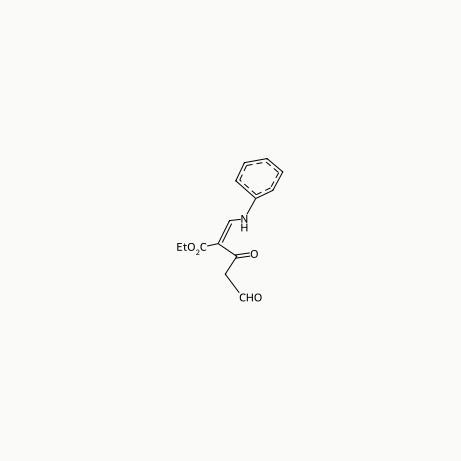 CCOC(=O)/C(=C/Nc1ccccc1)C(=O)CC=O